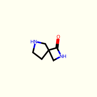 O=C1N[CH]C12CCNC2